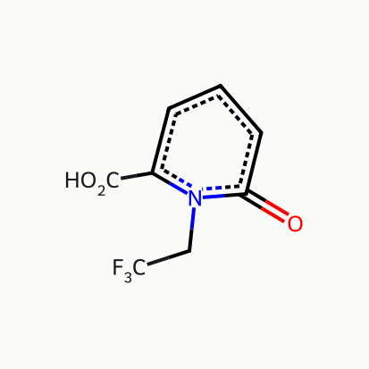 O=C(O)c1cccc(=O)n1CC(F)(F)F